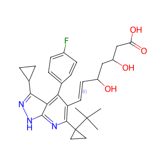 CC(C)(C)C1(c2nc3[nH]nc(C4CC4)c3c(-c3ccc(F)cc3)c2/C=C/C(O)CC(O)CC(=O)O)CC1